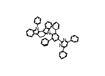 c1cccc(-c2cc(-c3nc(-c4ccccc4)cc(-c4ccccc4)n3)cc(C3C=CC=CC3)c2-n2c3c(c4ccccc42)-c2c(c4ccccc4n2-c2ccccc2)CC3)c#1